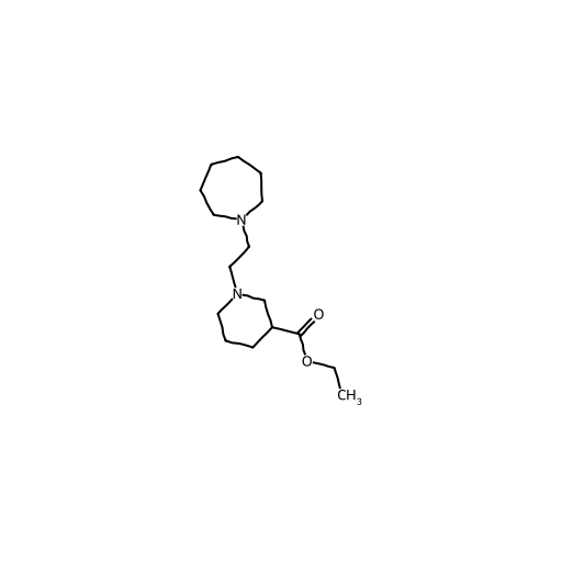 CCOC(=O)C1CCCN(CCN2CCCCCC2)C1